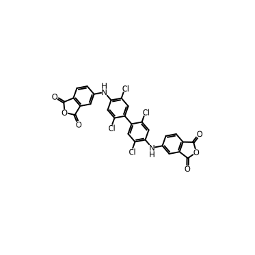 O=C1OC(=O)c2cc(Nc3cc(Cl)c(-c4cc(Cl)c(Nc5ccc6c(c5)C(=O)OC6=O)cc4Cl)cc3Cl)ccc21